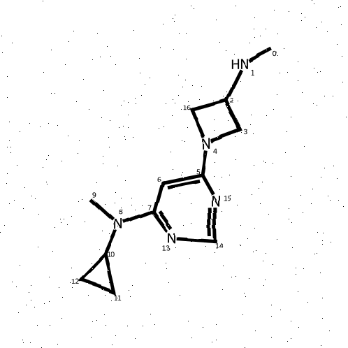 CNC1CN(c2cc(N(C)C3CC3)ncn2)C1